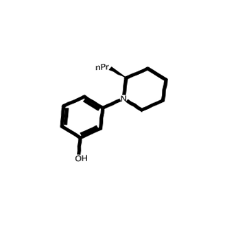 CCC[C@H]1CCC[CH]N1c1cccc(O)c1